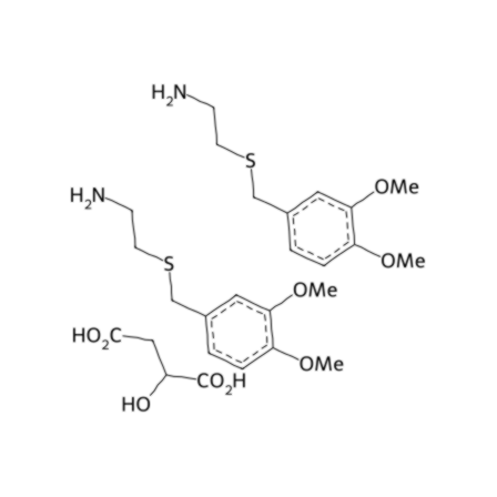 COc1ccc(CSCCN)cc1OC.COc1ccc(CSCCN)cc1OC.O=C(O)CC(O)C(=O)O